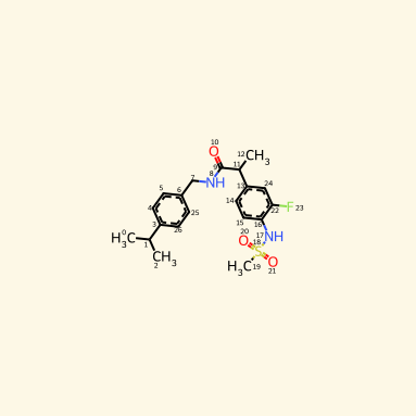 CC(C)c1ccc(CNC(=O)C(C)c2ccc(NS(C)(=O)=O)c(F)c2)cc1